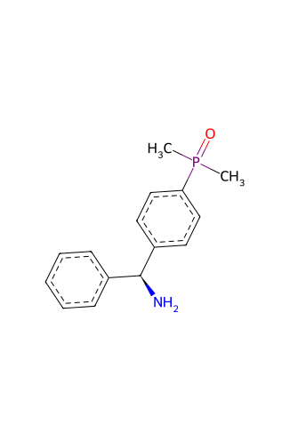 CP(C)(=O)c1ccc([C@@H](N)c2ccccc2)cc1